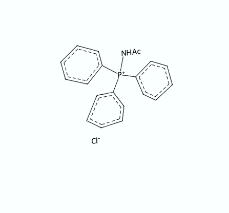 CC(=O)N[P+](c1ccccc1)(c1ccccc1)c1ccccc1.[Cl-]